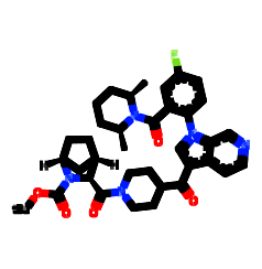 C[C@@H]1CCC[C@H](C)N1C(=O)c1cc(F)ccc1-n1cc(C(=O)C2CCN(C(=O)[C@@H]3[C@H]4CC[C@H](C4)N3C(=O)OC(C)(C)C)CC2)c2ccncc21